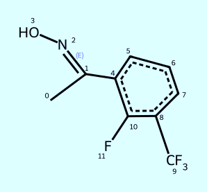 C/C(=N\O)c1cccc(C(F)(F)F)c1F